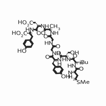 CC[C@H](C)[C@H](NC(=O)[C@@H](N)CCSC)C(=O)N[C@@H](CO)C(=O)N[C@@H](Cc1ccc(O)cc1)C(=O)NCC(=O)NCC(=O)N[C@@H](C)C(=O)N[C@@H](CC(=O)O)C(=O)N[C@@H](Cc1ccc(O)cc1)C(=O)O